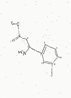 COC(=O)CC(N)c1cccc(I)c1